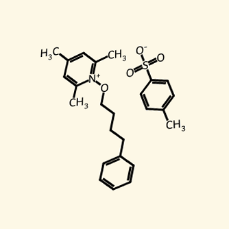 Cc1cc(C)[n+](OCCCCc2ccccc2)c(C)c1.Cc1ccc(S(=O)(=O)[O-])cc1